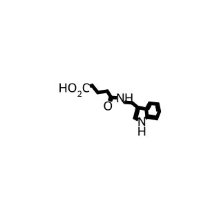 O=C(O)CCCC(=O)NCCc1c[nH]c2ccccc12